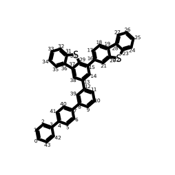 c1ccc(-c2ccc(-c3cccc(-c4cc(-c5ccc6c(c5)sc5ccccc56)c5sc6ccccc6c5c4)c3)cc2)cc1